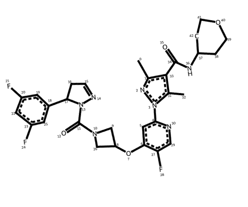 Cc1nn(-c2cc(OC3CN(C(=O)N4N=CCC4c4cc(F)cc(F)c4)C3)c(F)cn2)c(C)c1C(=O)NC1CCOCC1